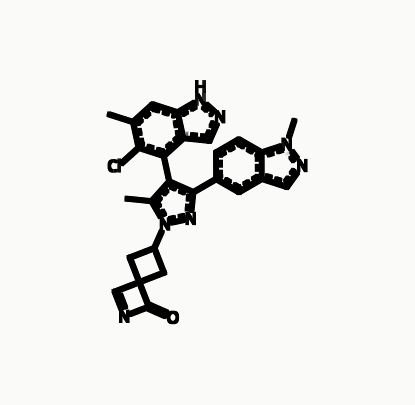 Cc1cc2[nH]ncc2c(-c2c(-c3ccc4c(cnn4C)c3)nn(C3CC4(C=NC4=O)C3)c2C)c1Cl